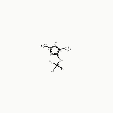 Cc1cc(OC(F)(F)F)c(C)s1